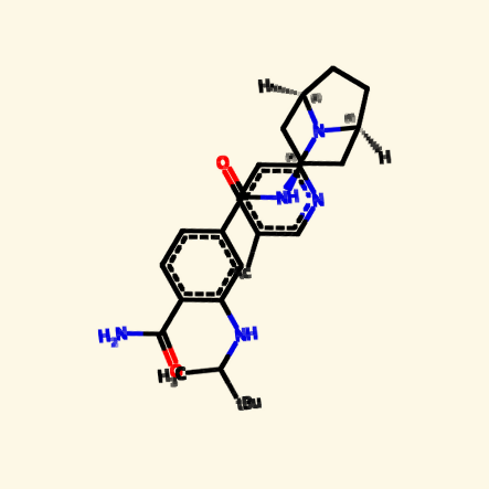 CC(=O)c1ccc(N2[C@@H]3CC[C@H]2C[C@@H](NC(=O)c2ccc(C(N)=O)c(NC(C)C(C)(C)C)c2)C3)nc1